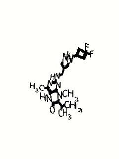 Cc1nc(NCc2cnn(C3CC(F)(F)C3)c2)nc2c1NC(=O)C(C(C)C)N2C